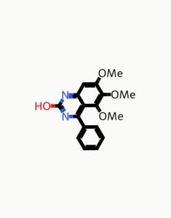 COc1cc2nc(O)nc(-c3ccccc3)c2c(OC)c1OC